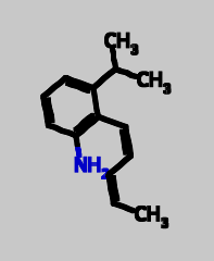 C/C=C\C=C/c1c(N)cccc1C(C)C